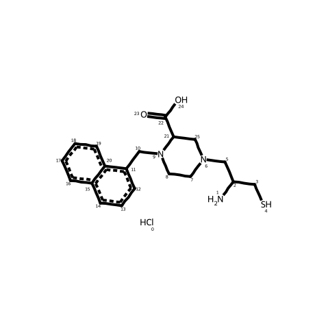 Cl.NC(CS)CN1CCN(Cc2cccc3ccccc23)C(C(=O)O)C1